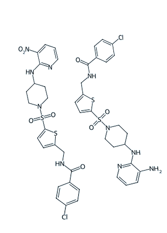 Nc1cccnc1NC1CCN(S(=O)(=O)c2ccc(CNC(=O)c3ccc(Cl)cc3)s2)CC1.O=C(NCc1ccc(S(=O)(=O)N2CCC(Nc3ncccc3[N+](=O)[O-])CC2)s1)c1ccc(Cl)cc1